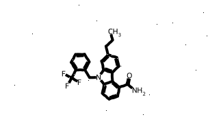 CCCc1c[c]c2c3c(C(N)=O)cccc3n(Cc3ccccc3C(F)(F)F)c2c1